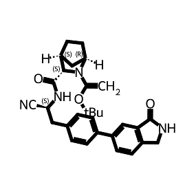 C=C(OC(C)(C)C)N1[C@@H]2CC[C@@H](C2)[C@H]1C(=O)N[C@H](C#N)Cc1ccc(-c2ccc3c(c2)C(=O)NC3)cc1